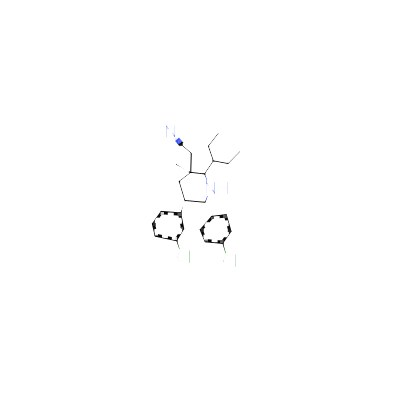 CCC(CC)C1N[C@H](c2ccc(Cl)cc2)[C@@H](c2cccc(Cl)c2)C[C@]1(C)CC#N